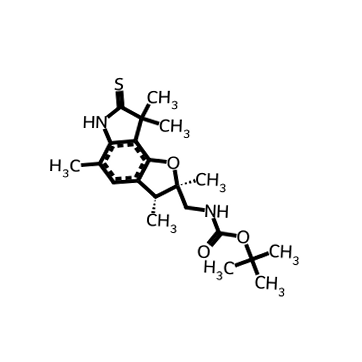 Cc1cc2c(c3c1NC(=S)C3(C)C)O[C@@](C)(CNC(=O)OC(C)(C)C)[C@@H]2C